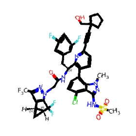 Cn1nc(NS(C)(=O)=O)c2c(Cl)ccc(-c3ccc(C#CC4(CO)CCCC4)nc3[C@H](Cc3cc(F)cc(F)c3)NC(=O)Cn3nc(C(F)(F)F)c4c3C(F)(F)[C@@H]3C[C@H]43)c21